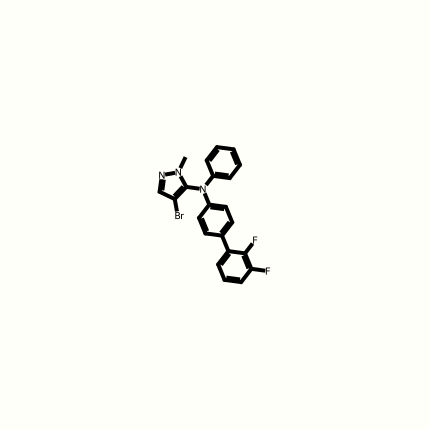 Cn1ncc(Br)c1N(c1ccccc1)c1ccc(-c2cccc(F)c2F)cc1